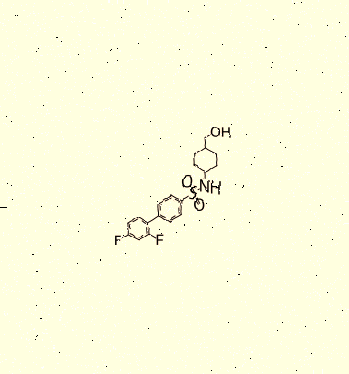 O=S(=O)(NC1CCC(CO)CC1)c1ccc(-c2ccc(F)cc2F)cc1